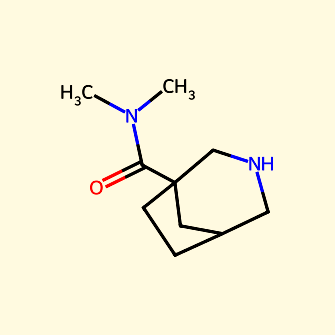 CN(C)C(=O)C12CCC(CNC1)C2